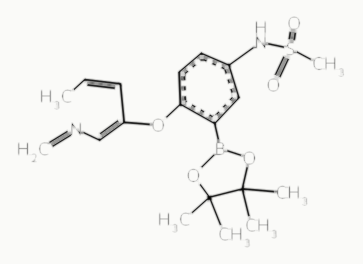 C=N/C=C(\C=C/C)Oc1ccc(NS(C)(=O)=O)cc1B1OC(C)(C)C(C)(C)O1